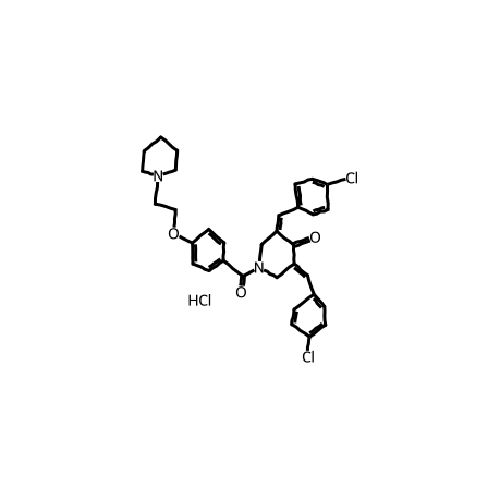 Cl.O=C1C(=Cc2ccc(Cl)cc2)CN(C(=O)c2ccc(OCCN3CCCCC3)cc2)CC1=Cc1ccc(Cl)cc1